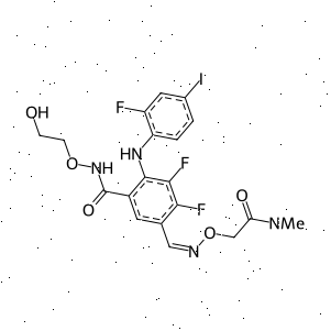 CNC(=O)CO/N=C\c1cc(C(=O)NOCCO)c(Nc2ccc(I)cc2F)c(F)c1F